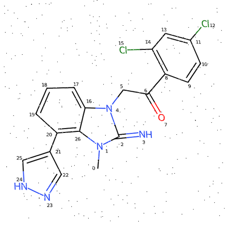 Cn1c(=N)n(CC(=O)c2ccc(Cl)cc2Cl)c2cccc(-c3cn[nH]c3)c21